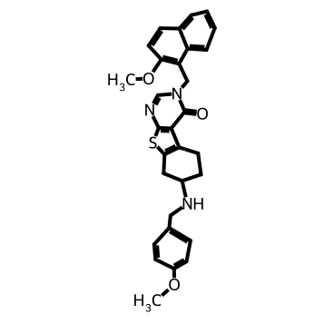 COc1ccc(CNC2CCc3c(sc4ncn(Cc5c(OC)ccc6ccccc56)c(=O)c34)C2)cc1